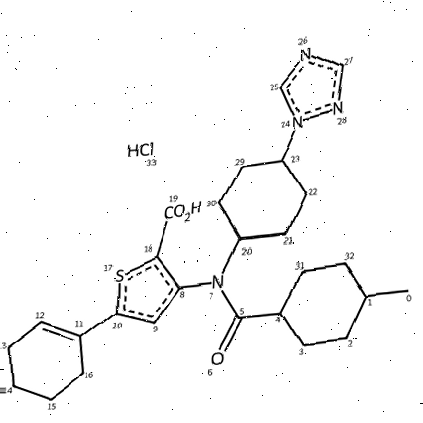 CC1CCC(C(=O)N(c2cc(C3=CCCCC3)sc2C(=O)O)C2CCC(n3cncn3)CC2)CC1.Cl